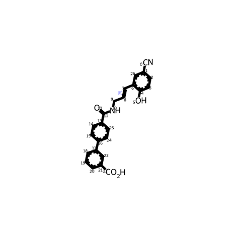 N#Cc1ccc(O)c(/C=C/CNC(=O)c2ccc(-c3cccc(C(=O)O)c3)cc2)c1